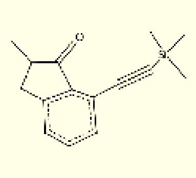 CC1Cc2cccc(C#C[Si](C)(C)C)c2C1=O